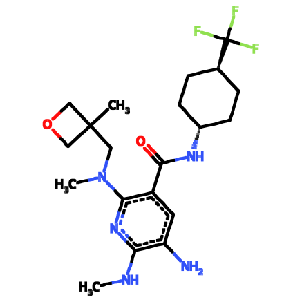 CNc1nc(N(C)CC2(C)COC2)c(C(=O)N[C@H]2CC[C@H](C(F)(F)F)CC2)cc1N